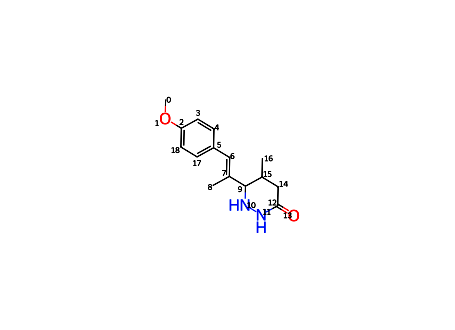 COc1ccc(/C=C(\C)C2NNC(=O)CC2C)cc1